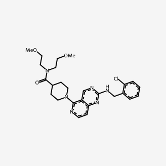 COCCN(CCOC)C(=O)C1CCN(c2nccc3nc(NCc4ccccc4Cl)ncc23)CC1